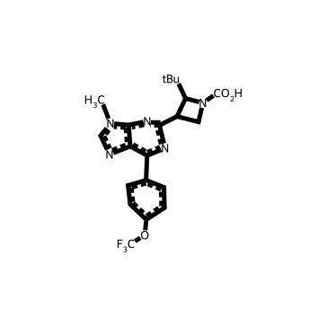 Cn1cnc2c(-c3ccc(OC(F)(F)F)cc3)nc(C3CN(C(=O)O)C3C(C)(C)C)nc21